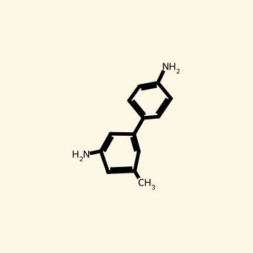 Cc1cc(N)cc(-c2ccc(N)cc2)c1